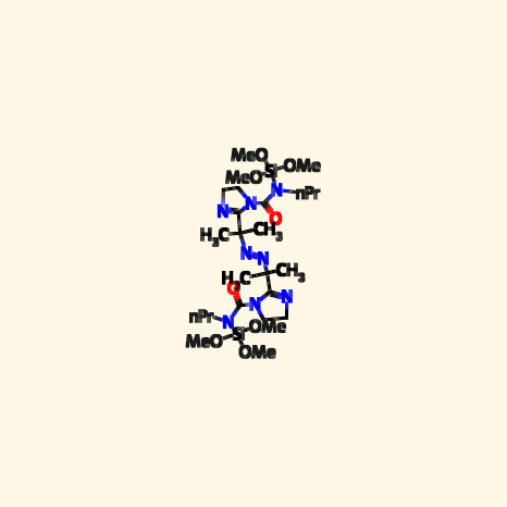 CCCN(C(=O)N1CCN=C1C(C)(C)N=NC(C)(C)C1=NCCN1C(=O)N(CCC)[Si](OC)(OC)OC)[Si](OC)(OC)OC